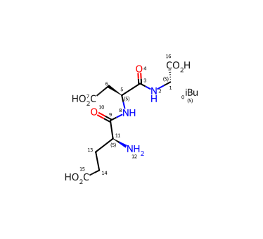 CC[C@H](C)[C@H](NC(=O)[C@H](CC(=O)O)NC(=O)[C@@H](N)CCC(=O)O)C(=O)O